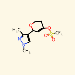 Cc1nn(C)cc1C1C=C(OS(=O)(=O)C(F)(F)F)CCO1